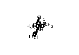 C=CCN1CCC2(c3cccc(OC)c3)CC(NC(=O)Cc3ccc(Cl)c(Cl)c3)CC(OC)C2C1